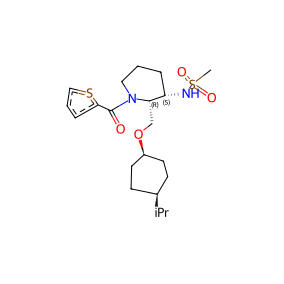 CC(C)[C@H]1CC[C@@H](OC[C@H]2[C@@H](NS(C)(=O)=O)CCCN2C(=O)c2cccs2)CC1